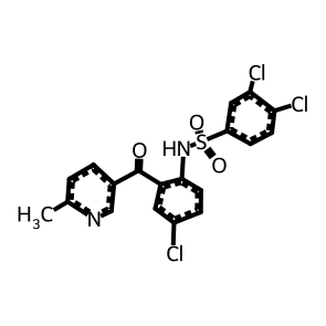 Cc1ccc(C(=O)c2cc(Cl)ccc2NS(=O)(=O)c2ccc(Cl)c(Cl)c2)cn1